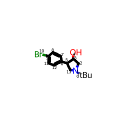 CC(C)(C)N1CC(O)C(c2ccc(Br)cc2)C1